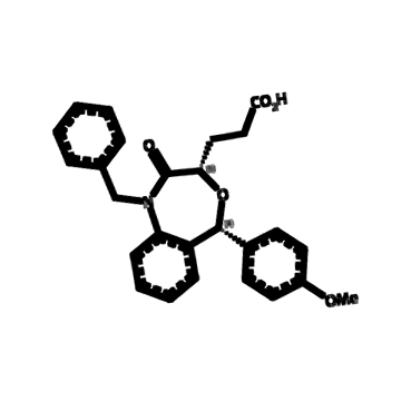 COc1ccc([C@H]2O[C@@H](CCC(=O)O)C(=O)N(Cc3ccccc3)c3ccccc32)cc1